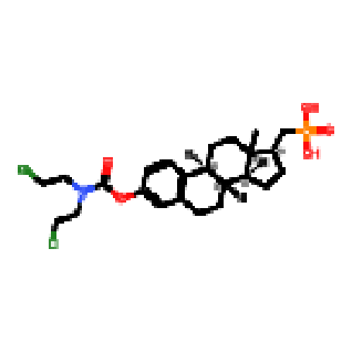 C[C@]12CC[C@@H]3c4ccc(OC(=O)N(CCCl)CCCl)cc4CC[C@H]3[C@@H]1CC[C@@H]2CP(=O)(O)O